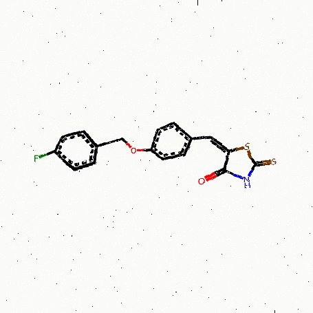 O=C1NC(=S)SC1=Cc1ccc(OCc2ccc(F)cc2)cc1